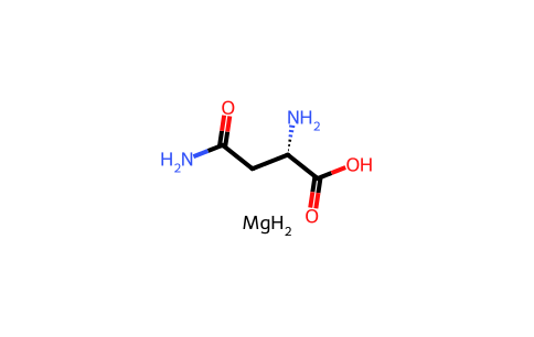 NC(=O)C[C@H](N)C(=O)O.[MgH2]